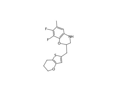 Cc1cc2c(c(F)c1F)OC(Cc1cc3c(s1)CCCO3)CN2